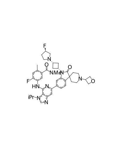 CNC(=O)c1cc(Nc2nc(-c3ccc4c(c3)N([C@H]3C[C@@H](N5CC[C@@H](F)C5)C3)C(=O)C43CCN(C4COC4)CC3)cc3ncn(C(C)C)c23)c(F)cc1C